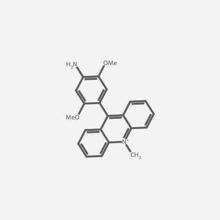 COc1cc(-c2c3ccccc3[n+](C)c3ccccc23)c(OC)cc1N